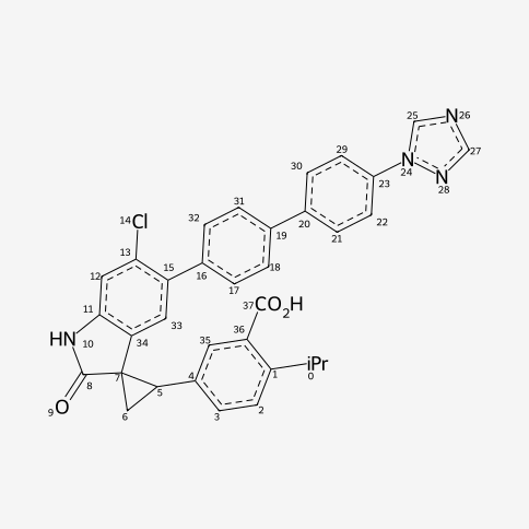 CC(C)c1ccc(C2CC23C(=O)Nc2cc(Cl)c(-c4ccc(-c5ccc(-n6cncn6)cc5)cc4)cc23)cc1C(=O)O